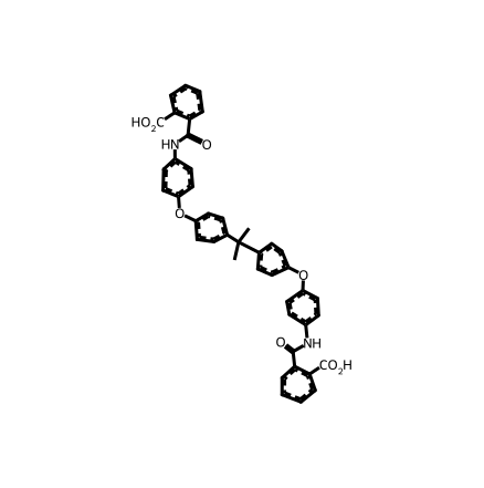 CC(C)(c1ccc(Oc2ccc(NC(=O)c3ccccc3C(=O)O)cc2)cc1)c1ccc(Oc2ccc(NC(=O)c3ccccc3C(=O)O)cc2)cc1